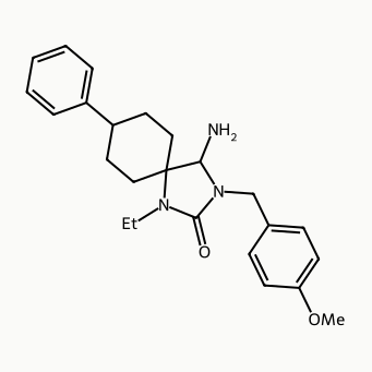 CCN1C(=O)N(Cc2ccc(OC)cc2)C(N)C12CCC(c1ccccc1)CC2